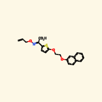 C=CCO/N=C(\C(=O)O)c1ccc(OCCOc2ccc3ccccc3c2)s1